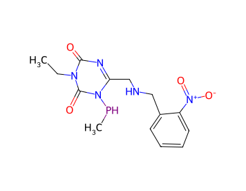 CCn1c(=O)nc(CNCc2ccccc2[N+](=O)[O-])n(PC)c1=O